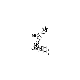 CC1CCn2c(cc(OCc3ccc(Oc4ccc(F)c(Cl)c4)c(C#N)c3)nc2=O)N1C